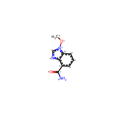 COn1cnc2c(C(N)=O)cccc21